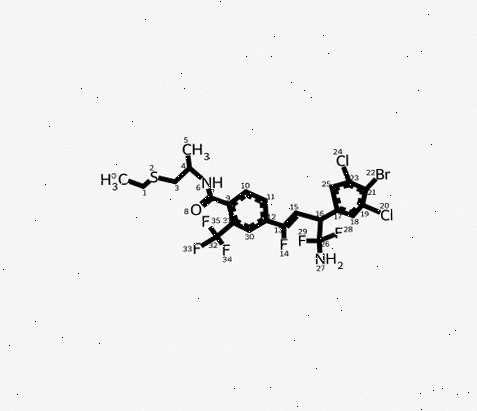 CCSCC(C)NC(=O)c1ccc(/C(F)=C/C(c2cc(Cl)c(Br)c(Cl)c2)C(N)(F)F)cc1C(F)(F)F